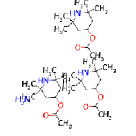 CC(=O)OC1CC(C)(C)NC(C)(C)C1.CC(=O)OC1CC(C)(C)NC(C)(C)C1.CC(=O)OC1CC(C)(C)NC(C)(C)C1.N